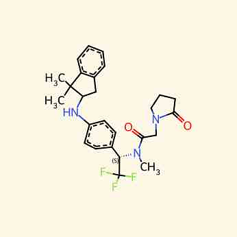 CN(C(=O)CN1CCCC1=O)[C@@H](c1ccc(NC2Cc3ccccc3C2(C)C)cc1)C(F)(F)F